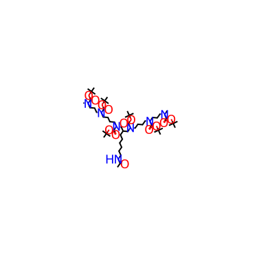 CC(=O)NCCCCCCC(CN(CCCCN(CCCN(C)C(=O)OC(C)(C)C)C(=O)OC(C)(C)C)C(=O)OC(C)(C)C)CN(CCCCN(CCCN(C)C(=O)OC(C)(C)C)C(=O)OC(C)(C)C)C(=O)OC(C)(C)C